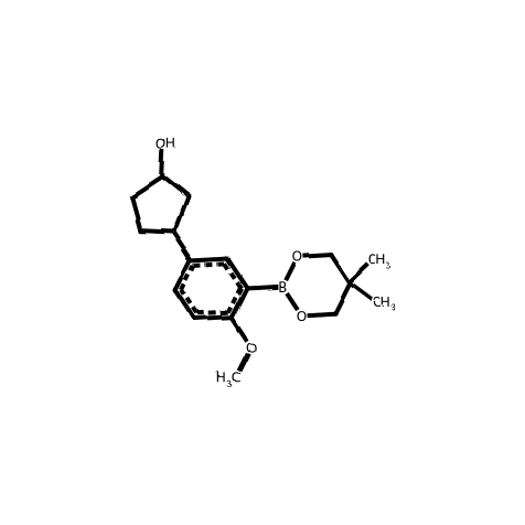 COc1ccc(C2CCC(O)C2)cc1B1OCC(C)(C)CO1